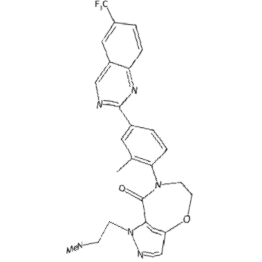 CNCCn1ncc2c1C(=O)N(c1ccc(-c3ncc4cc(C(F)(F)F)ccc4n3)cc1C)CCO2